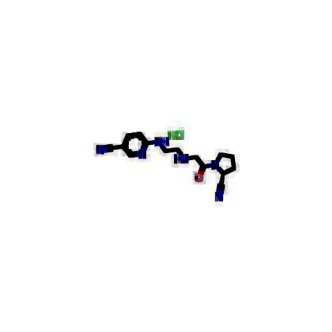 Cl.N#Cc1ccc(NCCNCC(=O)N2CCC[C@H]2C#N)nc1